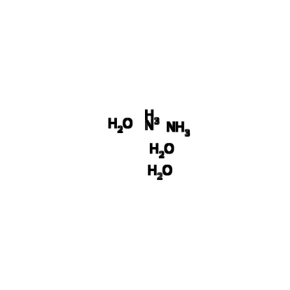 N.N.O.O.O